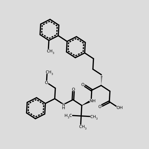 COCC(NC(=O)[C@@H](NC(=O)[C@H](CCCc1ccc(-c2ccccc2C)cc1)CC(=O)O)C(C)(C)C)c1ccccc1